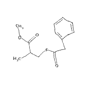 COC(=O)C(C)CSC(=O)Cc1ccccc1